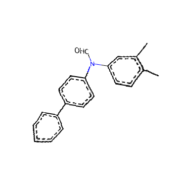 Cc1ccc(N(C=O)c2ccc(-c3ccccc3)cc2)cc1C